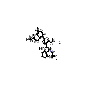 C=C/C=N\C1=C(N)CCCC1NC(=O)c1nc(-c2ccc(OC)c3nc(C(F)(F)F)ccc23)oc1CN